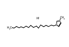 CCCCCCCCCCCCCCCCCCN1C=CN(C)C1.I